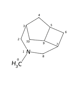 CN1CC2CC3CC(C1)C3C2